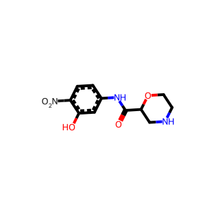 O=C(Nc1ccc([N+](=O)[O-])c(O)c1)C1CNCCO1